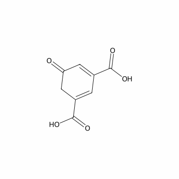 O=C1C=C(C(=O)O)C=C(C(=O)O)C1